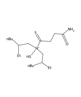 CCCCC(CC)C[N+](S)(CC(CC)CCCC)C(=S)CCC(N)=O